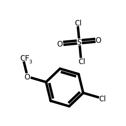 FC(F)(F)Oc1ccc(Cl)cc1.O=S(=O)(Cl)Cl